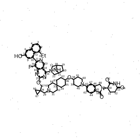 CCc1cccc2cc(O)cc(-c3ncc4c(N5CC6CCC(C5)N6)nc(OCC5(CN6CCC7(CCC(OC8CCN(c9ccc%10c(c9)CN(C9CCC(=O)NC9=O)C%10=O)CC8)CC7)CC6)CC5)nc4c3F)c12